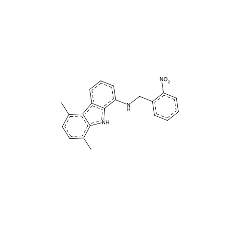 Cc1ccc(C)c2c1[nH]c1c(NCc3ccccc3[N+](=O)[O-])cccc12